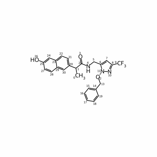 CC(C(=O)NCc1cc(C(F)(F)F)nn1OCc1ccccc1)c1ccc2cc(O)ccc2c1